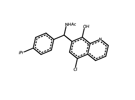 CC(=O)NC(c1ccc(C(C)C)cc1)c1cc(Cl)c2cccnc2c1O